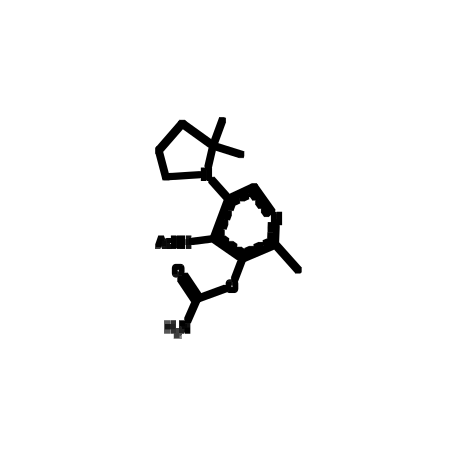 CC(=O)Nc1c(N2CCCC2(C)C)cnc(C)c1OC(N)=O